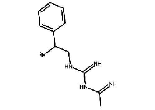 [2H]C(CNC(=N)NC(C)=N)c1ccccc1